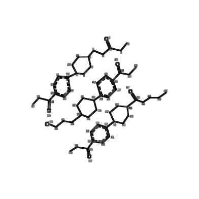 CCC(=O)CCC1CCC(c2ccc(C(=O)CC)cc2)CC1.CCC(=O)c1ccc(C2CCC(CCCCl)CC2)cc1.CCCCC(=O)C1CCC(c2ccc(C(=O)CC)cc2)CC1